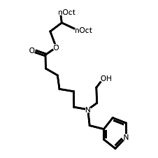 CCCCCCCCC(CCCCCCCC)COC(=O)CCCCCN(CCO)Cc1ccncc1